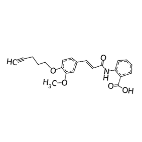 C#CCCCOc1ccc(/C=C/C(=O)Nc2ccccc2C(=O)O)cc1OC